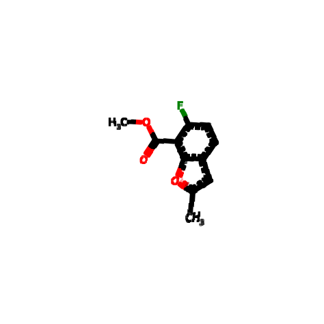 COC(=O)c1c(F)ccc2cc(C)oc12